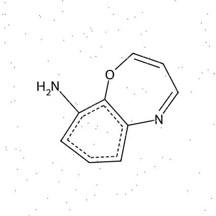 Nc1cccc2c1OC=CC=N2